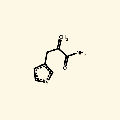 C=C(Cc1ccsc1)C(N)=O